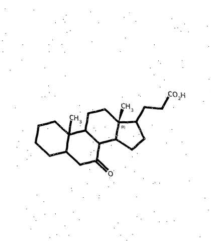 CC12CCCCC1CC(=O)C1C2CC[C@]2(C)C(CCC(=O)O)CCC12